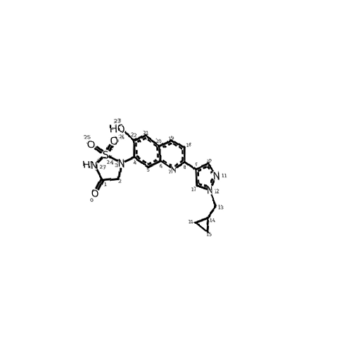 O=C1CN(c2cc3nc(-c4cnn(CC5CC5)c4)ccc3cc2O)S(=O)(=O)N1